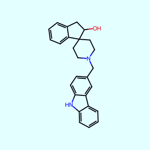 OC1Cc2ccccc2C12CCN(Cc1ccc3[nH]c4ccccc4c3c1)CC2